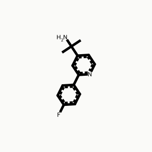 CC(C)(N)c1ccnc(-c2ccc(F)cc2)c1